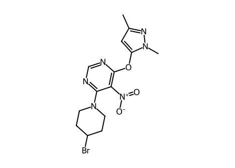 Cc1cc(Oc2ncnc(N3CCC(Br)CC3)c2[N+](=O)[O-])n(C)n1